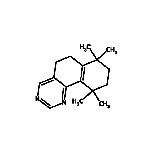 CC1(C)CCC(C)(C)C2=C1CCc1cncnc12